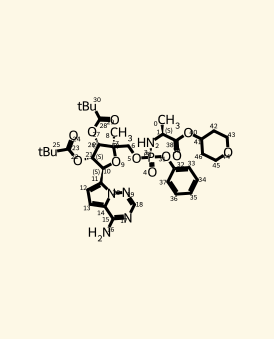 C[C@H](N[P@](=O)(OC[C@@]1(C)O[C@@H](c2ccc3c(N)ncnn23)[C@H](OC(=O)C(C)(C)C)[C@@H]1OC(=O)C(C)(C)C)Oc1ccccc1)C(=O)OC1CCOCC1